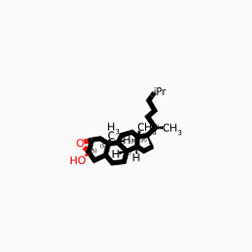 CC(C)CCC[C@@H](C)[C@H]1CC[C@H]2[C@@H]3CCC4C[C@]5(O)OC5C[C@]4(C)[C@H]3CC[C@]12C